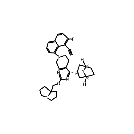 C#Cc1c(F)ccc2cccc(N3CCc4c(nc(OCC56CCCN5CCC6)nc4[C@H]4C[C@H]5CC[C@@H](C4)N5)C3)c12